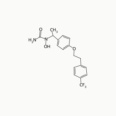 CC(c1ccc(OCCc2ccc(C(F)(F)F)cc2)cc1)N(O)C(N)=O